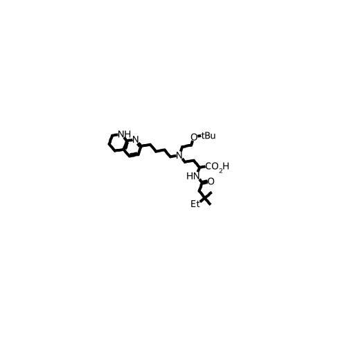 CCC(C)(C)CC(=O)NC(CCN(CCCCc1ccc2c(n1)NCCC2)CCOC(C)(C)C)C(=O)O